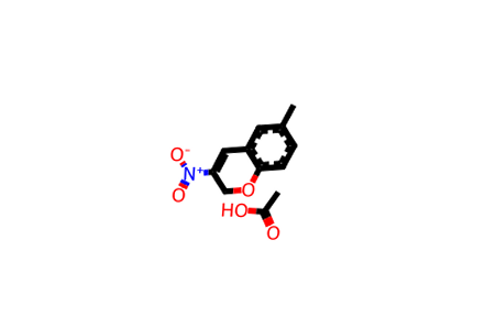 CC(=O)O.Cc1ccc2c(c1)C=C([N+](=O)[O-])CO2